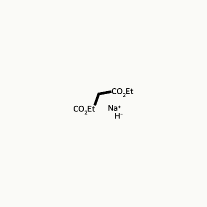 CCOC(=O)CC(=O)OCC.[H-].[Na+]